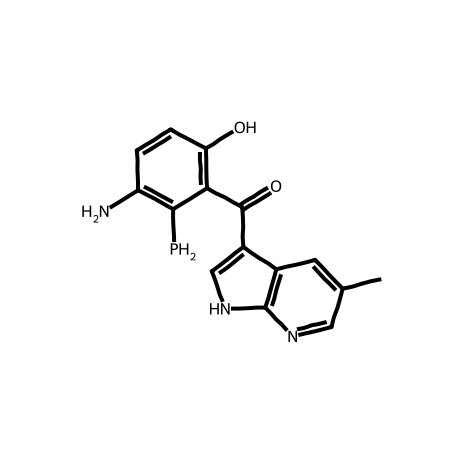 Cc1cnc2[nH]cc(C(=O)c3c(O)ccc(N)c3P)c2c1